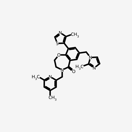 Cc1cc(C)nc(CN2CCOc3c(cc(Cn4ccnc4C)cc3-c3scnc3C)C2=O)c1